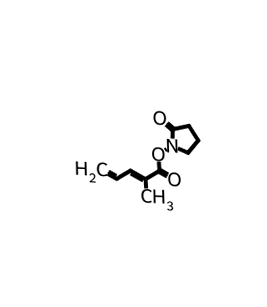 C=CC=C(C)C(=O)ON1CCCC1=O